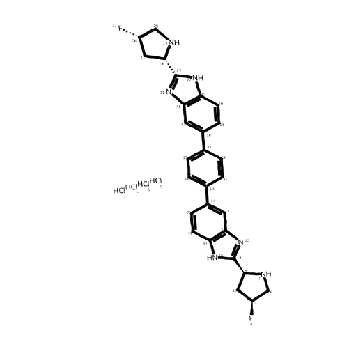 Cl.Cl.Cl.Cl.F[C@@H]1CN[C@H](c2nc3cc(-c4ccc(-c5ccc6[nH]c([C@@H]7C[C@H](F)CN7)nc6c5)cc4)ccc3[nH]2)C1